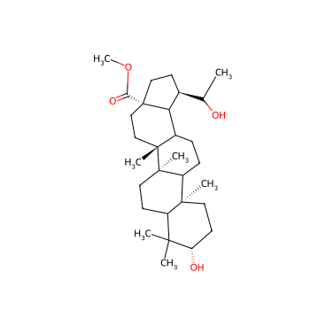 COC(=O)[C@]12CC[C@@H](C(C)O)C1C1CCC3[C@@]4(C)CC[C@H](O)C(C)(C)C4CC[C@@]3(C)[C@]1(C)CC2